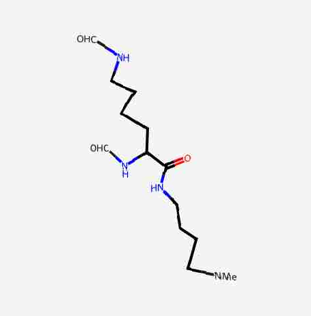 CNCCCCNC(=O)C(CCCCNC=O)NC=O